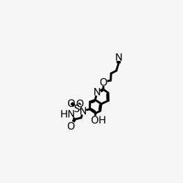 N#CCCCOc1ccc2cc(O)c(N3CC(=O)NS3(=O)=O)cc2n1